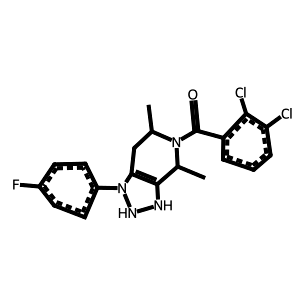 CC1CC2=C(NNN2c2ccc(F)cc2)C(C)N1C(=O)c1cccc(Cl)c1Cl